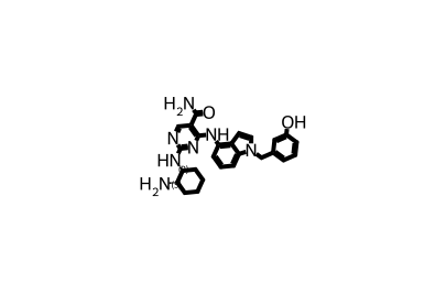 NC(=O)c1cnc(N[C@@H]2CCCC[C@@H]2N)nc1Nc1cccc2c1ccn2Cc1cccc(O)c1